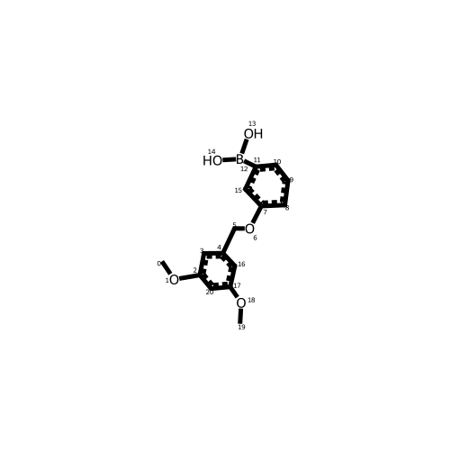 COc1cc(COc2cccc(B(O)O)c2)cc(OC)c1